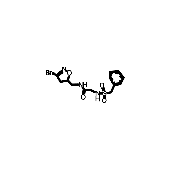 O=C(CNS(=O)(=O)Cc1ccccc1)NCC1CC(Br)=NO1